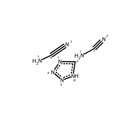 N#CN.N#CN.c1nnn[nH]1